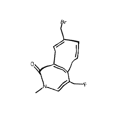 Cn1cc(F)c2ccc(Br)cc2c1=O